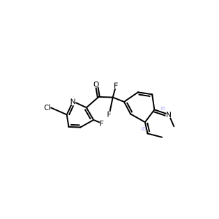 C/C=C1/C=C(C(F)(F)C(=O)c2nc(Cl)ccc2F)C=C/C1=N/C